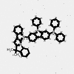 CC1(C)C2=CC=CCC2n2c1cc1c3ccccc3n(-c3ccc4c5ccc(N(c6ccccc6)c6ccccc6)cc5n(-c5ccccc5)c4c3)c12